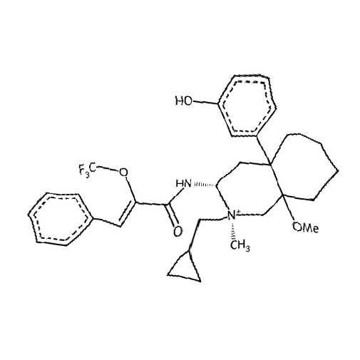 COC12CCCCC1(c1cccc(O)c1)C[C@@H](NC(=O)C(=Cc1ccccc1)OC(F)(F)F)[N@+](C)(CC1CC1)C2